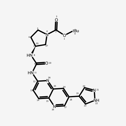 CC(C)(C)OC(=O)N1CC[C@H](NC(=O)Nc2ccc3ncc(-c4cn[nH]c4)cc3n2)C1